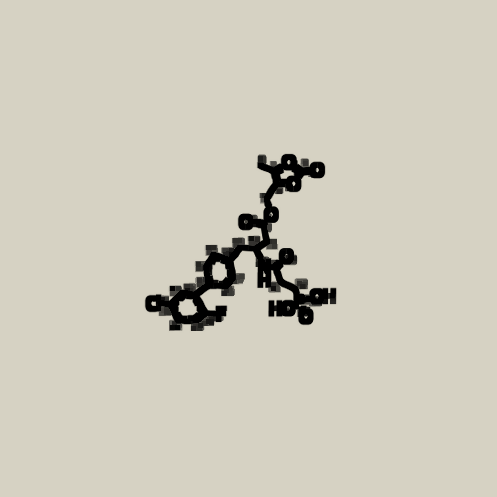 Cc1oc(=O)oc1COC(=O)CC(Cc1ccc(-c2cc(Cl)ccc2F)cc1)NC(=O)CCP(=O)(O)O